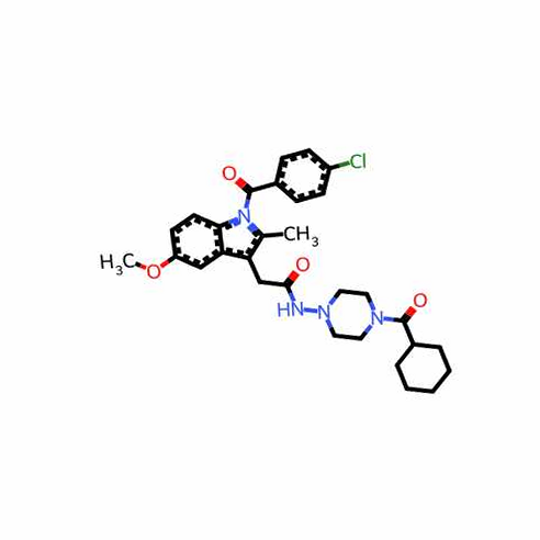 COc1ccc2c(c1)c(CC(=O)NN1CCN(C(=O)C3CCCCC3)CC1)c(C)n2C(=O)c1ccc(Cl)cc1